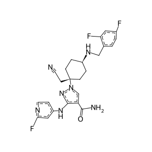 N#CC[C@]1(n2cc(C(N)=O)c(Nc3ccnc(F)c3)n2)CC[C@H](NCc2ccc(F)cc2F)CC1